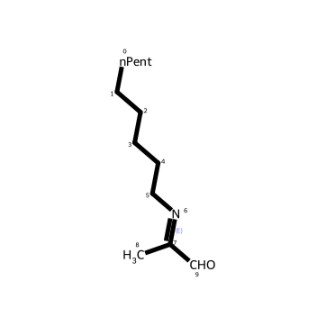 CCCCCCCCCC/N=C(\C)C=O